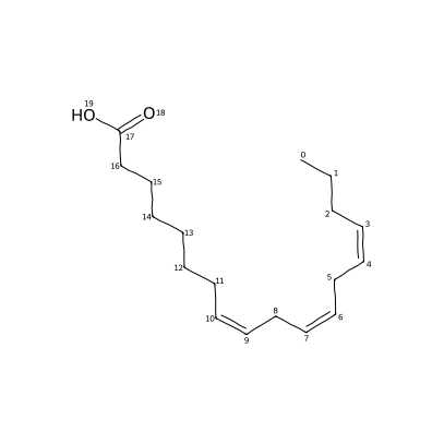 CCC/C=C\C/C=C\C/C=C\CCCCCCC(=O)O